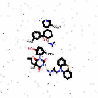 C=CCC1(C(C)CC)C(=O)NC(=O)NC1=O.CC(=O)Nc1ccc(O)cc1.CC(CN1c2ccccc2Sc2ccccc21)N(C)C.COc1cccc([C@@]2(O)CCCC[C@@H]2CN(C)C)c1.O=C(O)c1cccnc1